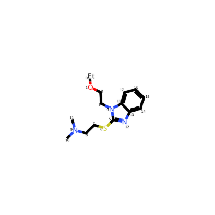 CCOCCn1c(SCCN(C)C)nc2ccccc21